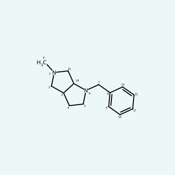 CN1CC2CCN(Cc3ccccc3)C2C1